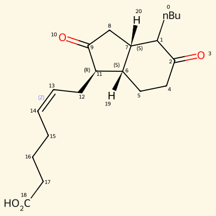 CCCCC1C(=O)CC[C@H]2[C@@H]1CC(=O)[C@@H]2C/C=C\CCCC(=O)O